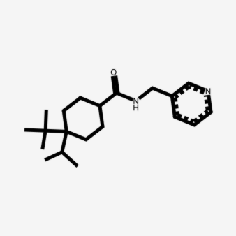 CC(C)C1(C(C)(C)C)CCC(C(=O)NCc2cccnc2)CC1